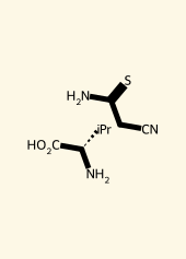 CC(C)[C@H](N)C(=O)O.N#CCC(N)=S